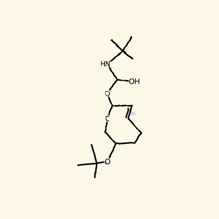 CC(C)(C)NC(O)OC1/C=C/CCC(OC(C)(C)C)CC1